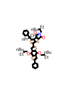 CCCCC(CC)COc1c2cc(-c3sc(C(C)(CCC)c4ccccc4)c4c5c(sc34)C(=O)N(CC(CC)CCCC)C5=O)sc2c(OCC(CC)CCCC)c2cc(-c3ccccc3)sc12